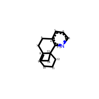 c1cnc2c(c1)CCC1=C3CCCC12C3